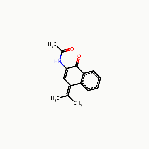 CC(=O)NC1=CC(=C(C)C)c2ccccc2C1=O